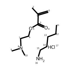 C=C(C)C(=O)OCCN(C)C.CCCCCN.Cl